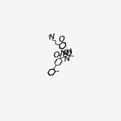 COc1ccc(NC(=O)C2(c3noc(C)n3)C=CC(c3ccccc3C)C=C2)cc1CCCN(C)C